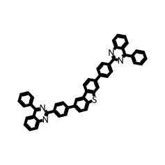 c1ccc(-c2nc(-c3ccc(-c4ccc5c(c4)sc4ccc(-c6ccc(-c7nc(-c8ccccc8)c8ccccc8n7)cc6)cc45)cc3)nc3ccccc23)cc1